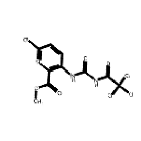 COC(=O)c1nc(Cl)ccc1NC(=O)NC(=O)C(Cl)(Cl)Cl